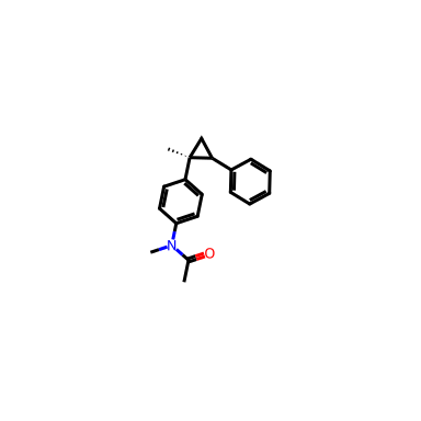 CC(=O)N(C)c1ccc([C@@]2(C)CC2c2ccccc2)cc1